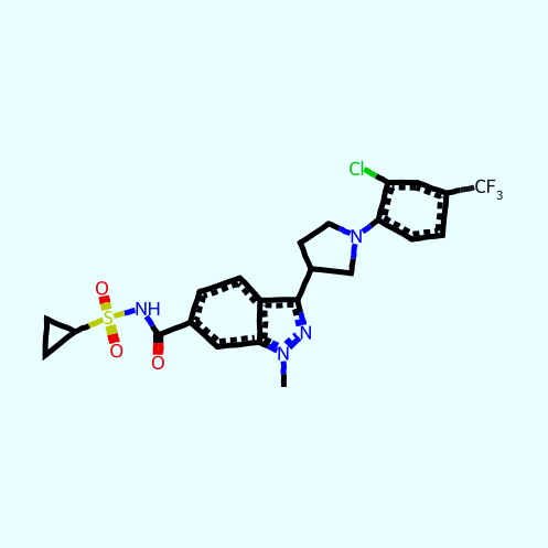 Cn1nc(C2CCN(c3ccc(C(F)(F)F)cc3Cl)C2)c2ccc(C(=O)NS(=O)(=O)C3CC3)cc21